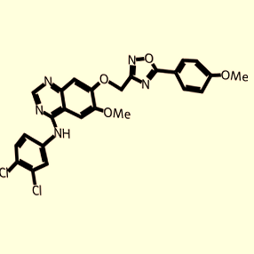 COc1ccc(-c2nc(COc3cc4ncnc(Nc5ccc(Cl)c(Cl)c5)c4cc3OC)no2)cc1